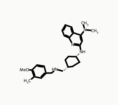 COc1ccc(CNC[C@H]2CC[C@@H](Nc3cc(N(C)C)c4ccccc4n3)CC2)cc1C